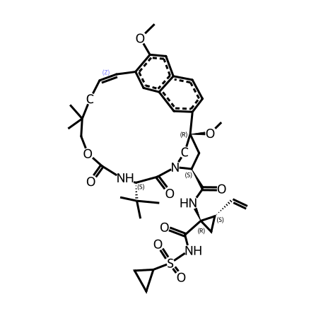 C=C[C@@H]1C[C@]1(NC(=O)[C@@H]1C[C@]2(OC)CN1C(=O)[C@H](C(C)(C)C)NC(=O)OCC(C)(C)C/C=C\c1cc3cc2ccc3cc1OC)C(=O)NS(=O)(=O)C1CC1